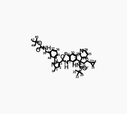 Cc1cc(C(=O)Nc2cc(C(CCC3CC3)(N[S@+]([O-])C(C)(C)C)c3cccnc3)ccc2F)n(-c2cccc(CNC(=O)OC(C)(C)C)c2)n1